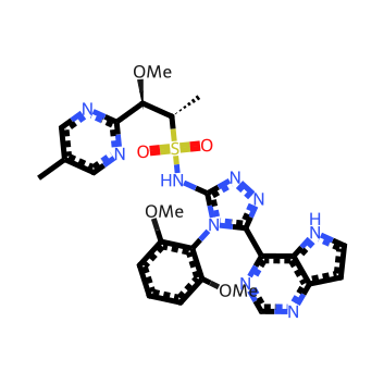 COc1cccc(OC)c1-n1c(NS(=O)(=O)[C@@H](C)[C@H](OC)c2ncc(C)cn2)nnc1-c1ncnc2cc[nH]c12